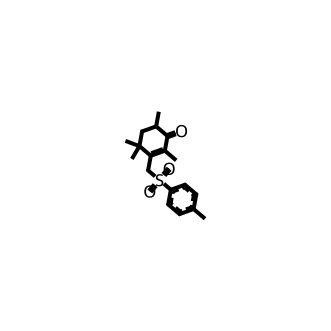 CC1=C(CS(=O)(=O)c2ccc(C)cc2)C(C)(C)CC(C)C1=O